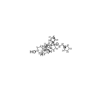 C[C@]12CC[C@H](O)C[C@H]1CC[C@@H]1[C@@H]2CC[C@]2(C)[C@@](OCCN3CCCC3)(c3ccsc3)CC[C@]12O